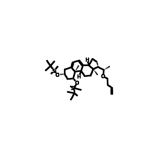 C=CCCO[C@@H](C)[C@H]1CC[C@H]2C3=CC=C4C[C@@H](O[Si](C)(C)C(C)(C)C)C[C@H](O[Si](C)(C)C(C)(C)C)[C@]4(C)[C@H]3CC[C@]12C